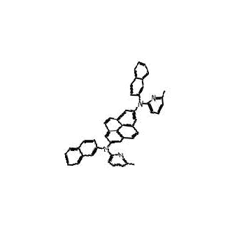 Cc1cccc(N(c2ccc3ccccc3c2)c2cc3ccc4cc(N(c5ccc6ccccc6c5)c5cccc(C)n5)cc5ccc(c2)c3c45)n1